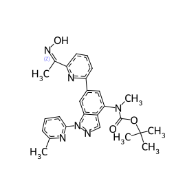 C/C(=N/O)c1cccc(-c2cc(N(C)C(=O)OC(C)(C)C)c3cnn(-c4cccc(C)n4)c3c2)n1